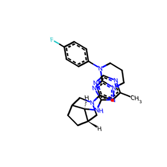 Cc1cc(N2CC3CC[C@@H](C2)[C@@H]3Nc2nc3n(n2)CCCN3c2ccc(F)cc2)ncn1